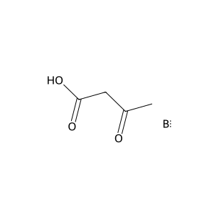 CC(=O)CC(=O)O.[B]